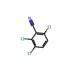 N#Cc1c(Cl)ccc(Cl)c1Cl